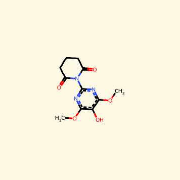 COc1nc(N2C(=O)CCCC2=O)nc(OC)c1O